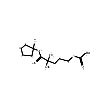 CCC(C)C(=O)OCCCC(C)(C)C(=O)OC1(CC)CCCC1